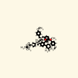 COc1ccc(CN(Cc2ccc(OC)cc2)S(=O)(=O)c2c(S(=O)(=O)N[C@@H]3CCN(C(=O)OC(C)(C)C)C3)ccc(C3=C[C@H](N)CCC3)c2-c2nnn(Cc3ccc(OC)cc3)n2)cc1